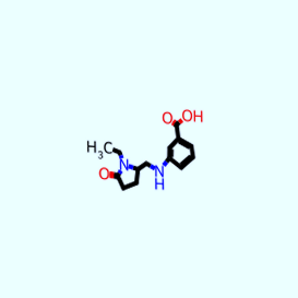 CCN1C(=O)CCC1CNc1cccc(C(=O)O)c1